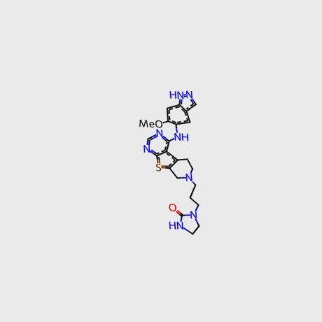 COc1cc2[nH]ncc2cc1Nc1ncnc2sc3c(c12)CCN(CCCN1CCNC1=O)C3